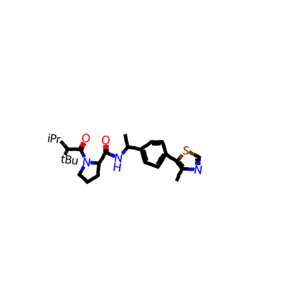 Cc1ncsc1-c1ccc(C(C)NC(=O)C2CCCN2C(=O)C(C(C)C)C(C)(C)C)cc1